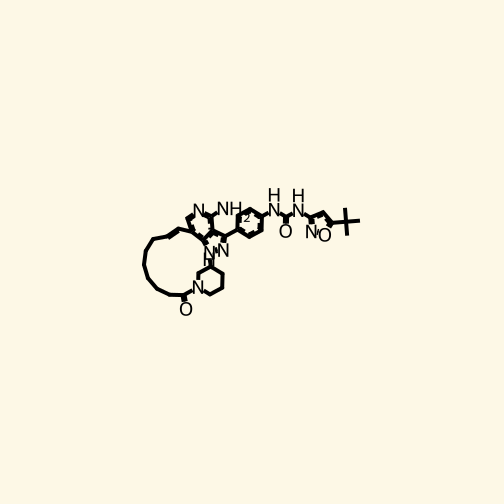 CC(C)(C)c1cc(NC(=O)Nc2ccc(-c3nn4c5c(cnc(N)c35)/C=C/CCCCCCC(=O)N3CCC[C@@H]4C3)cc2)no1